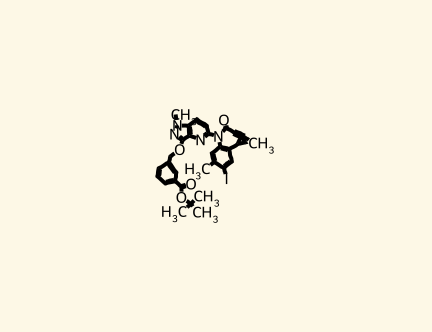 CC#CC(=O)N(c1ccc2c(n1)c(OCc1cccc(C(=O)OC(C)(C)C)c1)nn2C)c1cc(C)c(I)cc1C1CC1